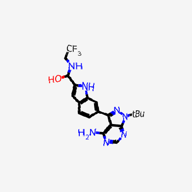 CC(C)(C)n1nc(-c2ccc3cc(C(O)NCC(F)(F)F)[nH]c3c2)c2c(N)ncnc21